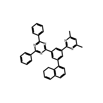 Cc1cc(C)nc(-c2cc(-c3nc(-c4ccccc4)nc(-c4ccccc4)n3)cc(-c3cccc4c3CCC=C4)c2)n1